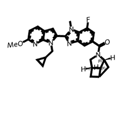 COc1ccc2cc(-c3nc4cc(C(=O)N5C[C@H]6CC7C[C@@H]5[C@H]76)cc(F)c4n3C)n(CC3CC3)c2n1